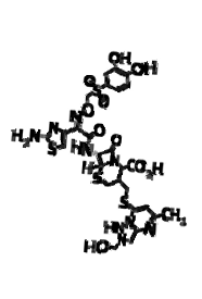 CC1=NC2=CN(CO)NN2C(SCC2=C(C(=O)O)N3C(=O)[C@@H](NC(=O)/C(=N\OCS(=O)(=O)c4ccc(O)c(O)c4)c4csc(N)n4)[C@H]3SC2)=C1